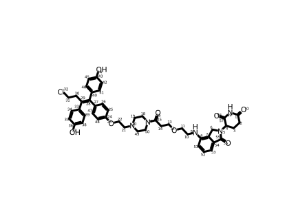 O=C1CCC(N2Cc3c(NCCOCCC(=O)N4CCN(CCOc5ccc(C(=C(CCCl)c6ccc(O)cc6)c6ccc(O)cc6)cc5)CC4)cccc3C2=O)C(=O)N1